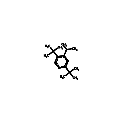 CC(C)c1cc(C(C)(C)C)ncc1C(C)(C)C